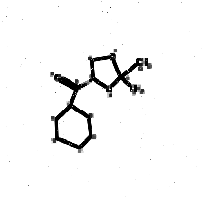 CC1(C)OC[C@@H](C(=O)C2CCCCC2)O1